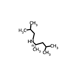 CC(C)CN[C@@H](C)CC(C)C